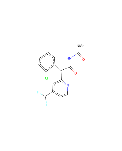 CNC(=O)NC(=O)C(c1cc(C(F)F)ccn1)c1ccccc1Cl